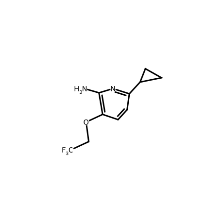 Nc1nc(C2CC2)ccc1OCC(F)(F)F